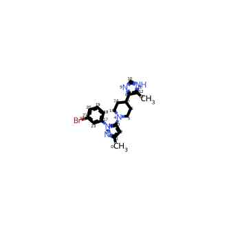 Cc1cc(N2CCC(c3nc[nH]c3C)CC2)n(-c2cccc(Br)c2)n1